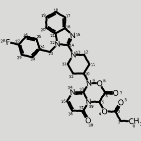 CCC(=O)OC1C(=O)ON(C2CCN(c3nc4ccccc4n3Cc3ccc(F)cc3)CC2)c2nccc(=O)n21